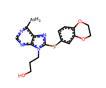 OCCCn1c(Sc2ccc3c(c2)OCCO3)nc2c([AsH2])ncnc21